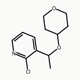 CC(OC1CCOCC1)c1cccnc1Cl